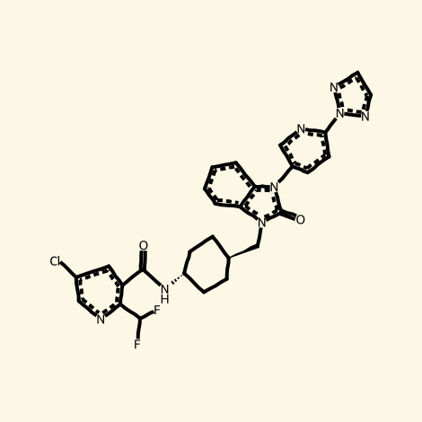 O=C(N[C@H]1CC[C@H](Cn2c(=O)n(-c3ccc(-n4nccn4)nc3)c3ccccc32)CC1)c1cc(Cl)cnc1C(F)F